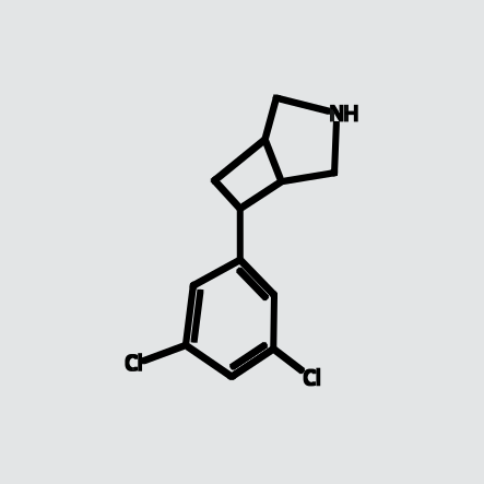 Clc1cc(Cl)cc(C2CC3CNCC32)c1